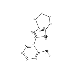 CNc1ccccc1-c1nc2c([nH]1)CCCC2